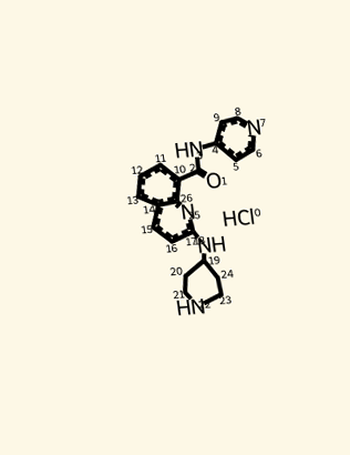 Cl.O=C(Nc1ccncc1)c1cccc2ccc(NC3CCNCC3)nc12